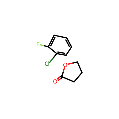 Fc1ccccc1Cl.O=C1CCCO1